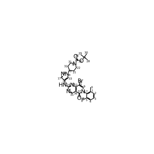 Cc1cccc(F)c1-n1cc(Br)c2nc(Nc3cnn(C4CCN(C(=O)OC(C)(C)C)CC4)c3)ncc2c1=O